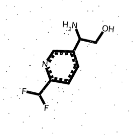 NC(CO)c1ccc(C(F)F)nc1